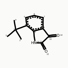 CC(C)(C)c1cccc2c1NC(=O)C2=O